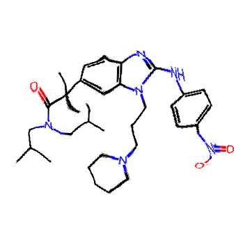 CC(C)CN(CC(C)C)C(=O)C(C)(C)c1ccc2nc(Nc3ccc([N+](=O)[O-])cc3)n(CCCN3CCCCC3)c2c1